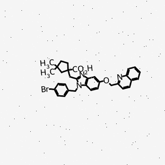 CC1(C)CCC(Cc2nc3cc(OCc4ccc5ccccc5n4)ccc3n2Cc2ccc(Br)cc2)(C(=O)O)C1